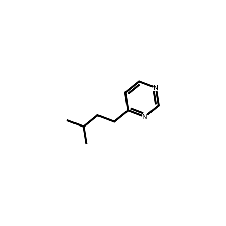 CC(C)CCc1ccncn1